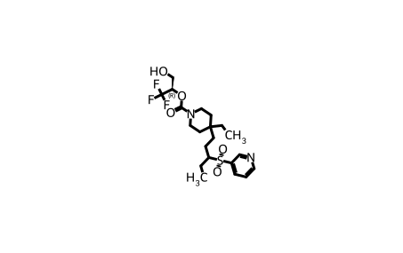 CCC(CCC1(CC)CCN(C(=O)O[C@H](CO)C(F)(F)F)CC1)S(=O)(=O)c1cccnc1